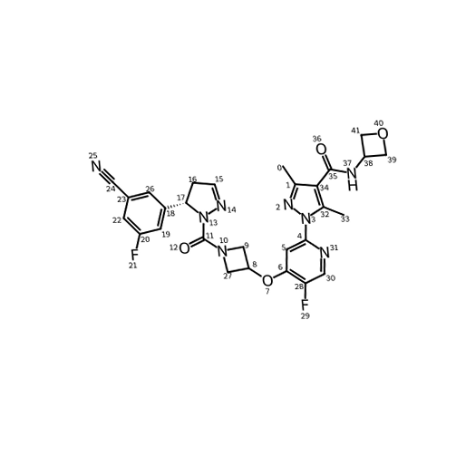 Cc1nn(-c2cc(OC3CN(C(=O)N4N=CC[C@H]4c4cc(F)cc(C#N)c4)C3)c(F)cn2)c(C)c1C(=O)NC1COC1